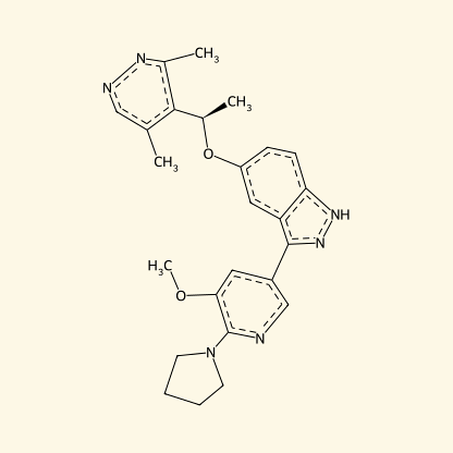 COc1cc(-c2n[nH]c3ccc(O[C@H](C)c4c(C)cnnc4C)cc23)cnc1N1CCCC1